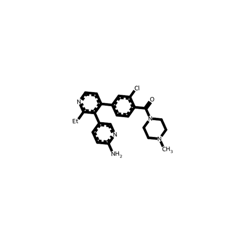 CCc1nccc(-c2ccc(C(=O)N3CCN(C)CC3)c(Cl)c2)c1-c1ccc(N)nc1